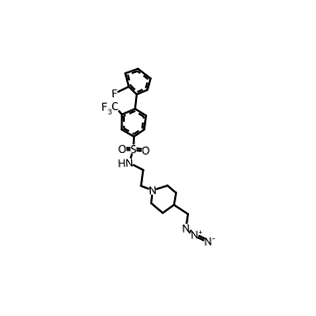 [N-]=[N+]=NCC1CCN(CCNS(=O)(=O)c2ccc(-c3ccccc3F)c(C(F)(F)F)c2)CC1